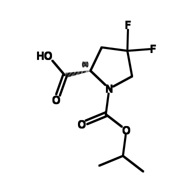 CC(C)OC(=O)N1CC(F)(F)C[C@H]1C(=O)O